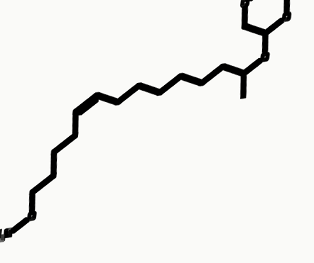 CC(CCCCCC/C=C\CCCCO[SiH3])OC1COCCO1